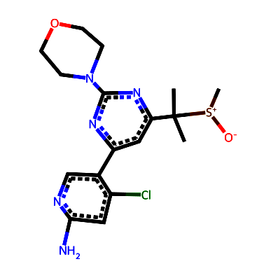 C[S+]([O-])C(C)(C)c1cc(-c2cnc(N)cc2Cl)nc(N2CCOCC2)n1